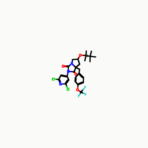 CC(C)(C)[Si](C)(C)OC1CN2C(=O)N(c3cc(Cl)nc(Cl)c3)C(=O)C2(Cc2ccc(OC(F)(F)F)cc2)C1